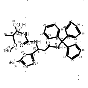 CC[C@H](C)c1nnc([C@H](CC(=O)NC(c2ccccc2)(c2ccccc2)c2ccccc2)NC(=O)N[C@H](C(=O)O)C(C)OC(C)(C)C)s1